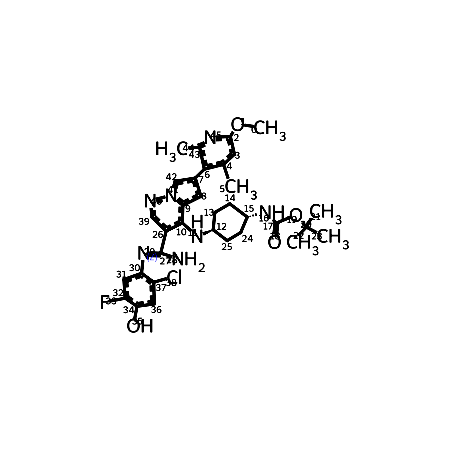 COc1cc(C)c(-c2cc3c(N[C@H]4CC[C@H](NC(=O)OC(C)(C)C)CC4)c(/C(N)=N/c4cc(F)c(O)cc4Cl)cnn3c2)c(C)n1